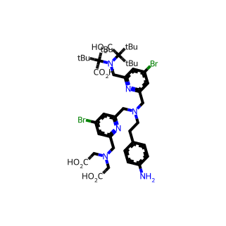 CC(C)(C)C(C(=O)O)(N(Cc1cc(Br)cc(CN(CCc2ccc(N)cc2)Cc2cc(Br)cc(CN(CC(=O)O)CC(=O)O)n2)n1)C(C(=O)O)(C(C)(C)C)C(C)(C)C)C(C)(C)C